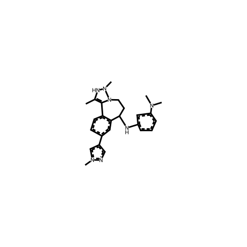 CC1=C2c3ccc(-c4cnn(C)c4)cc3C(Nc3cccc(N(C)C)c3)CCN2N(C)N1